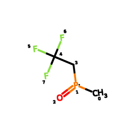 C[P](=O)CC(F)(F)F